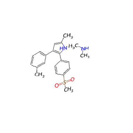 CNC.Cc1cccc(-c2cc(C)[nH]c2-c2ccc(S(C)(=O)=O)cc2)c1